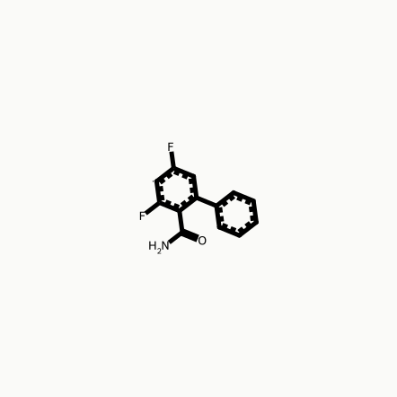 NC(=O)c1c(F)[c]c(F)cc1-c1ccccc1